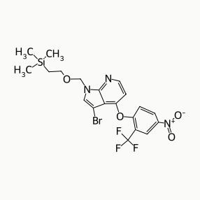 C[Si](C)(C)CCOCn1cc(Br)c2c(Oc3ccc([N+](=O)[O-])cc3C(F)(F)F)ccnc21